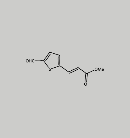 COC(=O)/C=C/c1ccc(C=O)s1